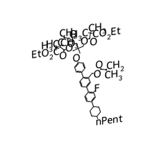 C=C(C)C(=O)OCc1cc(-c2ccc(C3CCC(CCCCC)CC3)cc2F)ccc1-c1ccc(OCC(COC(=O)C(=C)C)(COC(=O)C(C)(C)C(=O)OCC)COC(=O)C(C)(C)C(=O)OCC)cc1